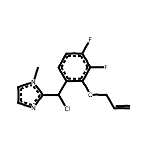 C=CCOc1c(C(Cl)c2nccn2C)ccc(F)c1F